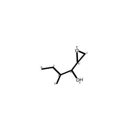 CCC(C)C(O)C1CO1